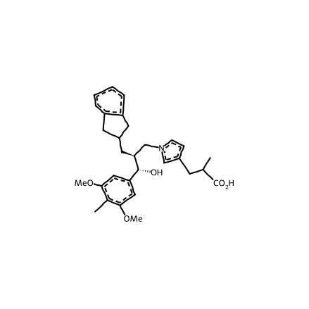 COc1cc([C@@H](O)[C@@H](CC2Cc3ccccc3C2)Cn2ccc(CC(C)C(=O)O)c2)cc(OC)c1C